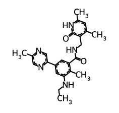 CCNc1cc(-c2cnc(C)cn2)cc(C(=O)NCc2c(C)cc(C)[nH]c2=O)c1C